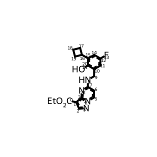 CCOC(=O)c1cnn2ccc(NCc3cc(F)cc(C4CCC4)c3O)nc12